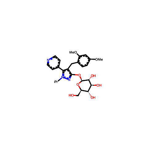 COc1ccc(Cc2c(O[C@@H]3O[C@H](CO)[C@@H](O)[C@H](O)[C@H]3O)nn(C(C)C)c2-c2ccncc2)c(OC)c1